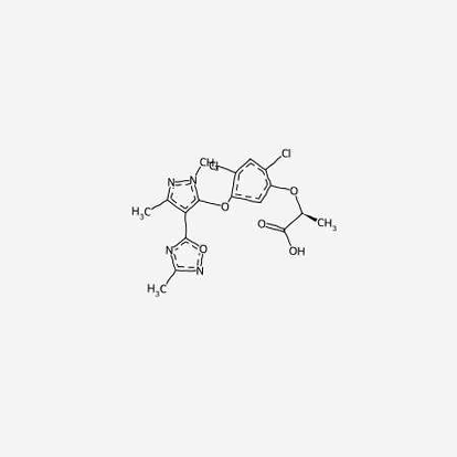 Cc1noc(-c2c(C)nn(C)c2Oc2cc(O[C@@H](C)C(=O)O)c(Cl)cc2Cl)n1